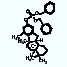 Cc1cc(OP(=O)(OCc2ccccc2)OCc2ccccc2)cc2c1[C@]1(C)CC[C@H]3C(C)(C)CCC[C@]3(C)[C@H]1C2